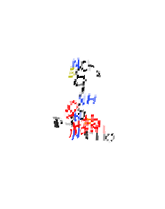 Cc1ncsc1-c1ccc(CCNC(=O)[C@@H]2C[C@H](OP(=O)(O)O)CN2C(=O)[C@H](c2cc(OCC=O)no2)C(C)C)cc1